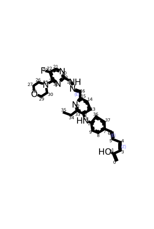 C=C(O)/C=C\C=C\c1ccc(Nc2ccc(/C=N/Nc3ncc(F)c(N4CCOCC4)n3)nc2CC)cc1